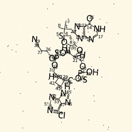 CC(C)(C)[Si](C)(C)OC1[C@H](n2cnc3c(=O)[nH]cnc32)O[C@@H]2COP(O)(=S)OC[C@@H]3[C@@H](COP(=S)(OCCC#N)O[C@@H]12)C[C@H]3n1cnc2c(Cl)ncnc21